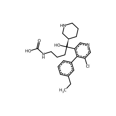 CCc1cccc(-c2c(Cl)cncc2C(O)(CCCNC(=O)O)[C@@H]2CCCNC2)c1